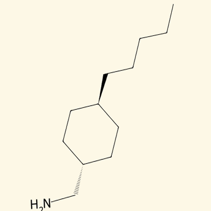 CCCCC[C@H]1CC[C@H](CN)CC1